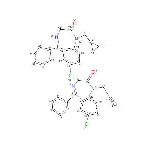 C#CCN1C(=O)CN=C(c2ccccc2)c2cc(Cl)ccc21.O=C1CN=C(c2ccccc2)c2cc(Cl)ccc2N1CC1CC1